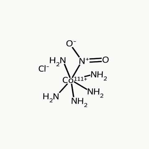 [Cl-].[NH2][Co+111]([NH2])([NH2])([NH2])([NH2])[N+](=O)[O-]